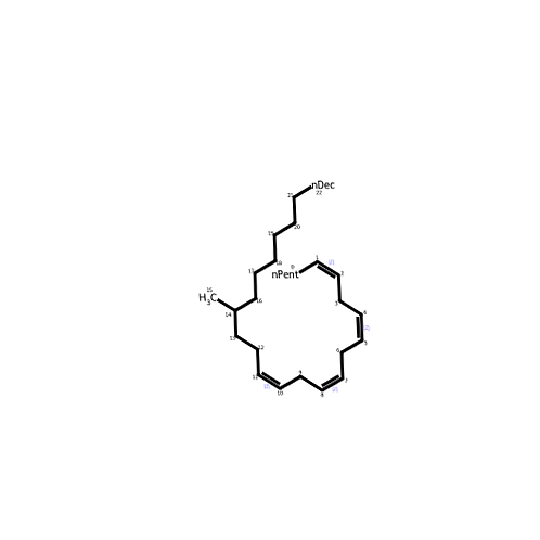 CCCCC/C=C\C/C=C\C/C=C\C/C=C\CC[C](C)CCCCCCCCCCCCCCCC